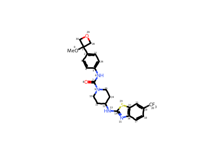 COC1(c2ccc(NC(=O)N3CCC(Nc4nc5ccc(C(F)(F)F)cc5s4)CC3)cc2)COC1